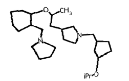 CC(C)OC1CCC(CN2CCC(CC(C)OC3CCCCC3CN3CCCC3)C2)C1